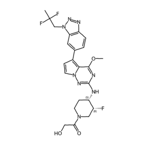 COc1nc(N[C@H]2CCN(C(=O)CO)C[C@H]2F)nn2ccc(-c3ccc4nnn(CC(C)(F)F)c4c3)c12